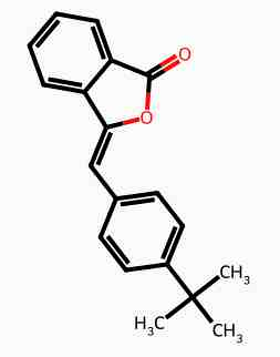 CC(C)(C)c1ccc(C=C2OC(=O)c3ccccc32)cc1